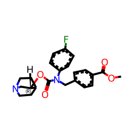 COC(=O)c1ccc(CN(C(=O)O[C@H]2CN3CCC2CC3)c2ccc(F)cc2)cc1